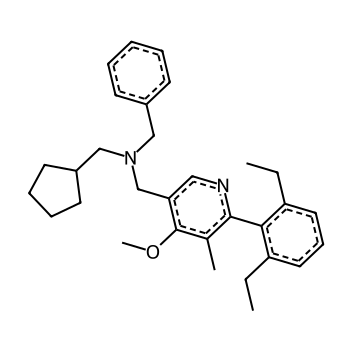 CCc1cccc(CC)c1-c1ncc(CN(Cc2ccccc2)CC2CCCC2)c(OC)c1C